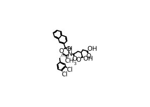 C[C@H](NC(=O)CC(CC(=O)O)C(=O)O)[C@H](Cc1ccc(Cl)c(Cl)c1)OC(=O)c1ccc2ccccc2c1